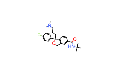 CN(C)CCCC1(c2ccc(F)cc2)OCc2cc(C(=O)NC(C)(C)C)ccc21